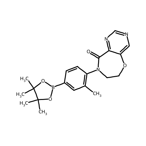 Cc1cc(B2OC(C)(C)C(C)(C)O2)ccc1N1CCOc2cncnc2C1=O